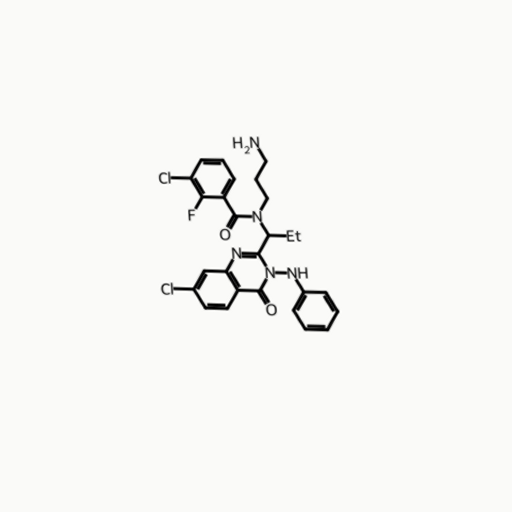 CCC(c1nc2cc(Cl)ccc2c(=O)n1Nc1ccccc1)N(CCCN)C(=O)c1cccc(Cl)c1F